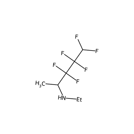 CCNC(C)C(F)(F)C(F)(F)C(F)F